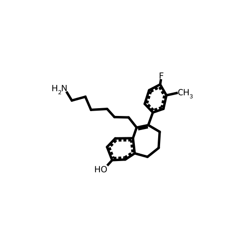 Cc1cc(C2=C(CCCCCCN)c3ccc(O)cc3CCC2)ccc1F